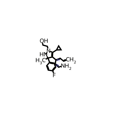 C=C/C=C(\C=C/N)C1=C(C2CC2)N(CCO)NC1(C)c1ccc(F)cc1